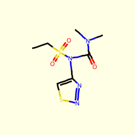 CCS(=O)(=O)N(C(=O)N(C)C)c1csnn1